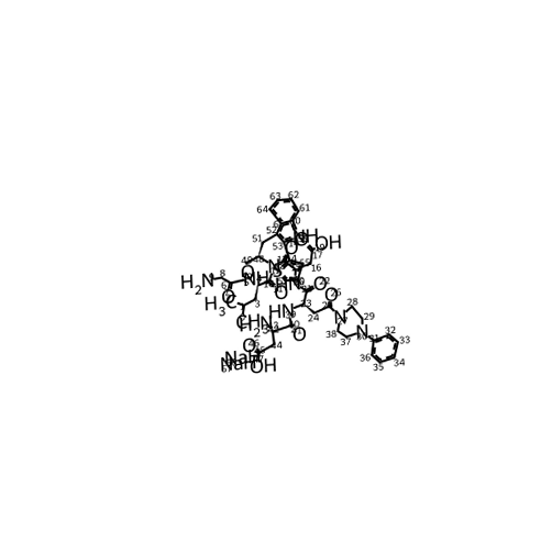 CC(C)C[C@@H](NC(=O)CN)C(=O)N(C(=O)[C@@H](CC(=O)O)NC(=O)[C@@H](CC(=O)N1CCN(c2ccccc2)CC1)NC(=O)[C@@H](N)CC(=O)O)[C@@H](C=O)Cc1c(-c2cccs2)[nH]c2ccccc12.[NaH].[NaH]